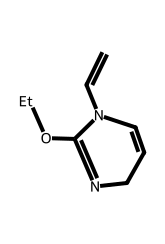 C=CN1C=CCN=C1OCC